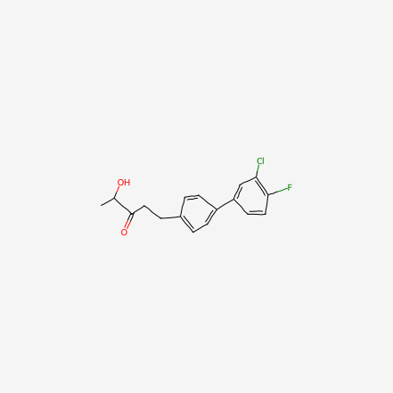 CC(O)C(=O)CCc1ccc(-c2ccc(F)c(Cl)c2)cc1